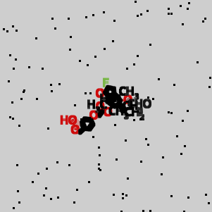 C=C[C@]1(C)C[C@@H](OC(=O)COc2ccc3c(c2)B(O)OC3)[C@]2(C)[C@H](C)CC[C@]3(C[C@H](F)C(=O)[C@H]32)[C@@H](C)[C@@H]1OC=O